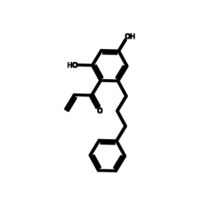 C=CC(=O)c1c(O)cc(O)cc1CCCc1ccccc1